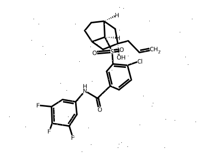 C=CC[C@@]1(O)CC2CC[C@@H](C1)[C@H]2S(=O)(=O)c1cc(C(=O)Nc2cc(F)c(F)c(F)c2)ccc1Cl